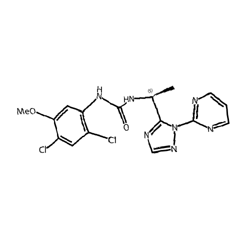 COc1cc(NC(=O)N[C@@H](C)c2ncnn2-c2ncccn2)c(Cl)cc1Cl